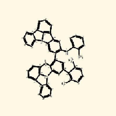 Cc1ccccc1Nc1cc2c3cccc4c5ccccc5n(c2cc1-c1cc(-c2c(C)cccc2C)cc2c1Bc1cccc5c6ccccc6n-2c15)c43